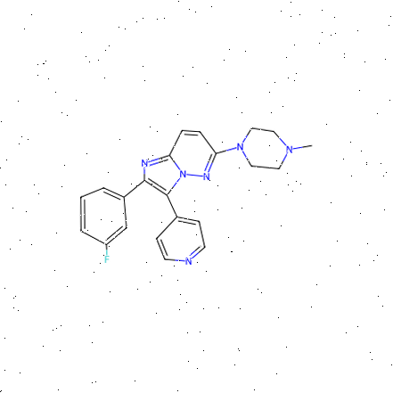 CN1CCN(c2ccc3nc(-c4cccc(F)c4)c(-c4ccncc4)n3n2)CC1